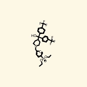 CCOP(=O)(OCC)c1ccc(CN2CCC(C(O)(c3ccc(C(F)(F)F)cc3)c3ccc(C(F)(F)F)cc3)CC2)cc1